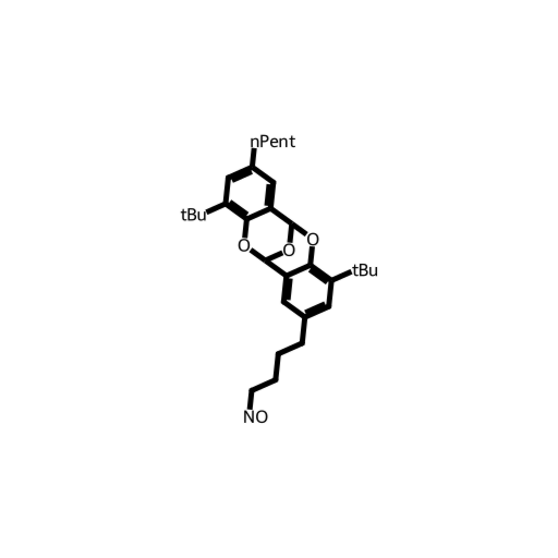 CCCCCc1cc2c(c(C(C)(C)C)c1)OC1OC2Oc2c1cc(CCCCN=O)cc2C(C)(C)C